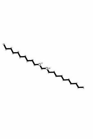 CCCCCCCCCCOCOCCCCCCCCCC